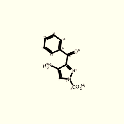 Nc1cn(C(=O)O)nc1C(=O)c1ccccc1